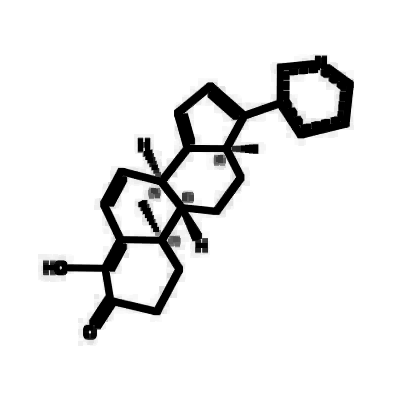 C[C@]12CC[C@H]3[C@@H](C=CC4=C(O)C(=O)CC[C@@]43C)C1=CC=C2c1cccnc1